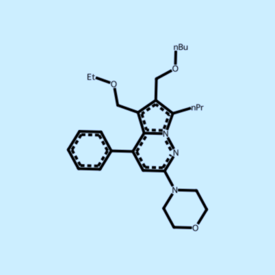 CCCCOCc1c(COCC)c2c(-c3ccccc3)cc(N3CCOCC3)nn2c1CCC